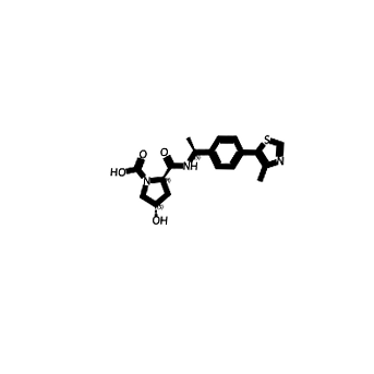 Cc1ncsc1-c1ccc([C@H](C)NC(=O)[C@H]2C[C@H](O)CN2C(=O)O)cc1